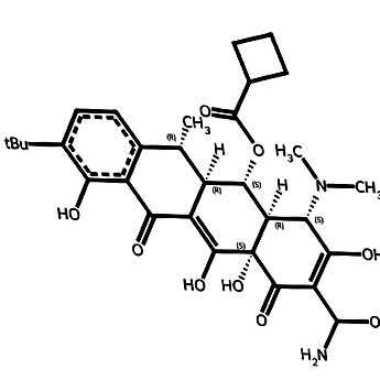 C[C@H]1c2ccc(C(C)(C)C)c(O)c2C(=O)C2=C(O)[C@]3(O)C(=O)C(C(N)O)=C(O)[C@@H](N(C)C)[C@@H]3[C@@H](OC(=O)C3CCC3)[C@@H]21